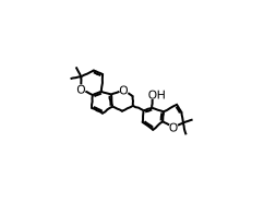 CC1(C)C=Cc2c(ccc(C3COc4c(ccc5c4C=CC(C)(C)O5)C3)c2O)O1